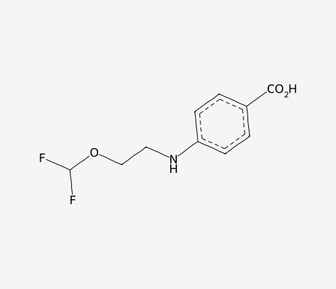 O=C(O)c1ccc(NCCOC(F)F)cc1